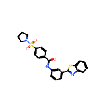 O=C(Nc1cccc(-c2nc3ccccc3s2)c1)c1ccc(S(=O)(=O)N2CCCC2)cc1